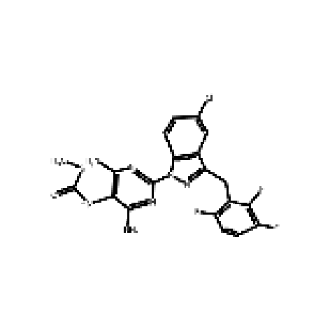 CSC(=O)Nc1c(N)nc(-n2nc(Cc3c(F)ccc(F)c3F)c3cc(Cl)ccc32)nc1N